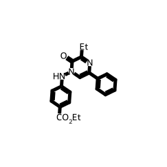 CCOC(=O)c1ccc(Nn2cc(-c3ccccc3)nc(CC)c2=O)cc1